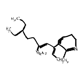 C/C=C(/C=C(\N)CCC(CC)CC)C1=CCCN=C1C